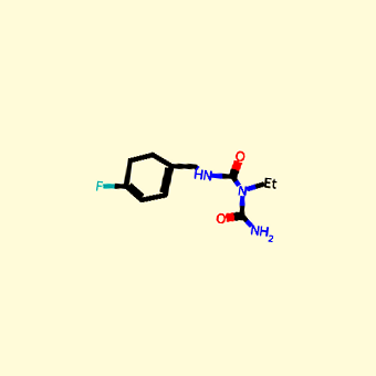 CCN(C(N)=O)C(=O)NCC1=CC=C(F)CC1